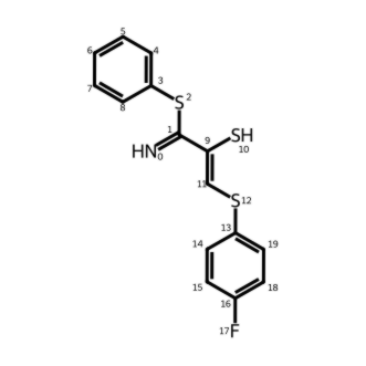 N=C(Sc1ccccc1)C(S)=CSc1ccc(F)cc1